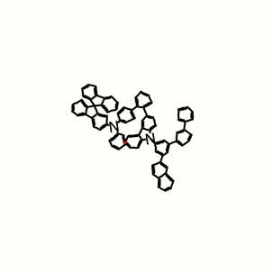 c1ccc(-c2cccc(-c3cc(-c4ccc5ccccc5c4)cc(-n4c5ccccc5c5cc(-c6ccccc6-c6ccc(N(c7ccccc7)c7ccc8c(c7)C7(c9ccccc9-c9ccccc97)c7ccccc7-8)cc6)ccc54)c3)c2)cc1